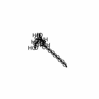 C#CCOCCOCCOCCOCCOCCOCCOCCOCCC(=O)NC(CC(C)C)C(=O)N1CCC[C@H]1C(=O)NC(CCC(=O)O)C(=O)NC(C(=O)NCC(=O)NCC(=O)O)C(C)O